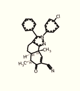 C[C@H]1C(=O)C(C#N)=C[C@@]2(C)c3nn(-c4ccc(Cl)cc4)c(-c4ccccc4)c3CC[C@H]12